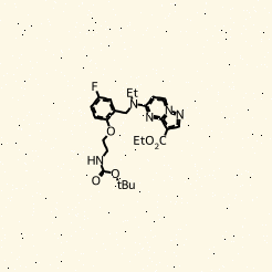 CCOC(=O)c1cnn2ccc(N(CC)Cc3cc(F)ccc3OCCNC(=O)OC(C)(C)C)nc12